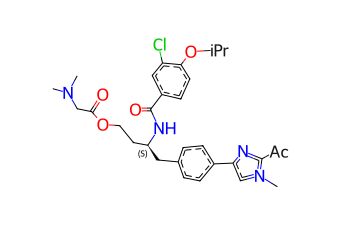 CC(=O)c1nc(-c2ccc(C[C@@H](CCOC(=O)CN(C)C)NC(=O)c3ccc(OC(C)C)c(Cl)c3)cc2)cn1C